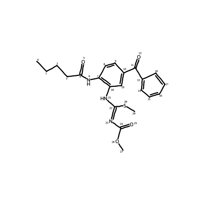 CCCCC(=O)Nc1ccc(C(=O)c2ccccc2)cc1NC(=NC(=O)OC)SC